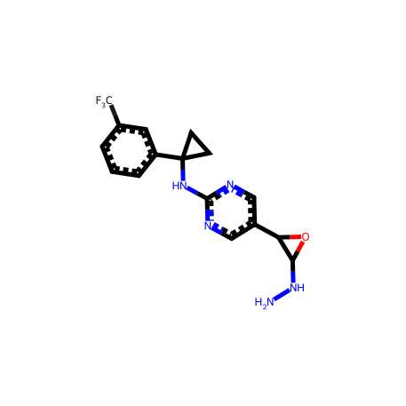 NNC1OC1c1cnc(NC2(c3cccc(C(F)(F)F)c3)CC2)nc1